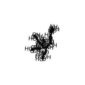 Nc1nc2ncc(CNc3ccc(C(=O)N[C@@H](CCC(=O)N[C@@H](CCC(=O)NC[C@H](O)[C@@H](O)[C@H](O)C(=O)O)C(=O)N[C@@H](CCC(=O)NC[C@H](O)[C@@H](O)[C@H](O)C(=O)O)C(=O)N[C@@H](CCC(=O)NC[C@H](O)[C@@H](O)[C@H](O)C(=O)O)C(=O)N[C@H](C(=O)O)C(=O)S)C(=O)O)cc3)nc2c(=O)[nH]1